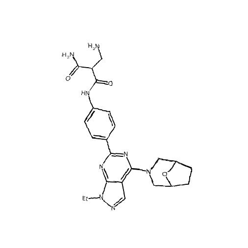 CCn1ncc2c(N3CC4CCC(C3)O4)nc(-c3ccc(NC(=O)C(CN)C(N)=O)cc3)nc21